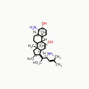 CC(=O)O[C@H]1C[C@@]2(C)[C@@H](C[C@@H](O)[C@H]3[C@@]4(C)CC[C@@H](O)[C@@H](N)[C@@H]4CC[C@@]32C)/C1=C(/C(=O)O)[C@H](N)C=C(C)C